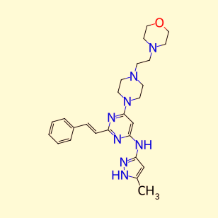 Cc1cc(Nc2cc(N3CCN(CCN4CCOCC4)CC3)nc(C=Cc3ccccc3)n2)n[nH]1